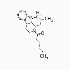 CCCCCC(=O)N1CCc2c([nH]c3ccccc23)C1CC(C)C